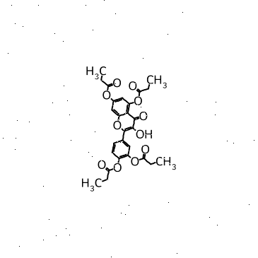 CCC(=O)Oc1cc(OC(=O)CC)c2c(=O)c(O)c(-c3ccc(OC(=O)CC)c(OC(=O)CC)c3)oc2c1